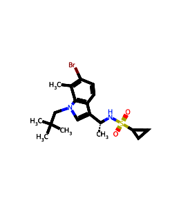 Cc1c(Br)ccc2c([C@@H](C)NS(=O)(=O)C3CC3)cn(CC(C)(C)C)c12